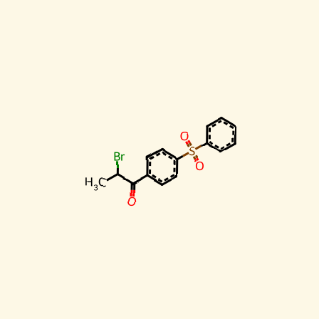 CC(Br)C(=O)c1ccc(S(=O)(=O)c2ccccc2)cc1